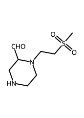 CS(=O)(=O)CCN1CCNCC1C=O